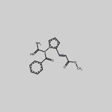 COC(=O)/C=C/c1cccn1N(C(=N)N)C(=O)c1ccccc1